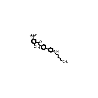 CCCCCCNc1ccc(-c2ccc(NC(=O)c3cc([N+](=O)[O-])ccc3Cl)cc2)cc1